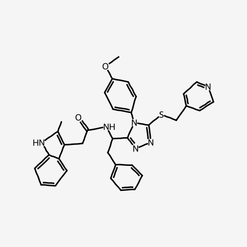 COc1ccc(-n2c(SCc3ccncc3)nnc2C(Cc2ccccc2)NC(=O)Cc2c(C)[nH]c3ccccc23)cc1